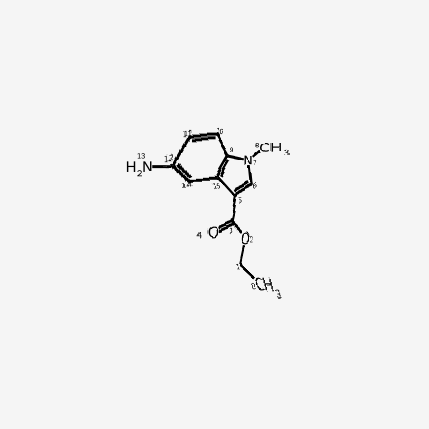 CCOC(=O)c1cn(C)c2ccc(N)cc12